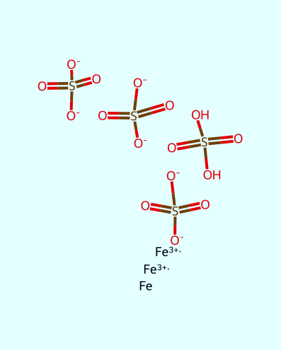 O=S(=O)(O)O.O=S(=O)([O-])[O-].O=S(=O)([O-])[O-].O=S(=O)([O-])[O-].[Fe+3].[Fe+3].[Fe]